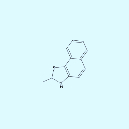 CC1Nc2ccc3ccccc3c2S1